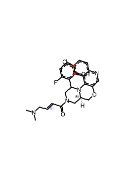 CN(C)C/C=C/C(=O)N1CC(c2c(O)cccc2F)N2c3c(cnc4ccc(Cl)cc34)OC[C@H]2C1